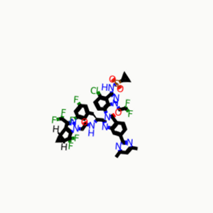 Cc1cc(C)nc(-c2ccc3c(=O)n(-c4ccc(Cl)c5c(NS(=O)(=O)C6CC6)nn(CC(F)F)c45)c([C@H](Cc4cc(F)cc(F)c4)NC(=O)Cn4nc(C(F)F)c5c4C(F)(F)[C@@H]4C[C@H]54)nc3c2)n1